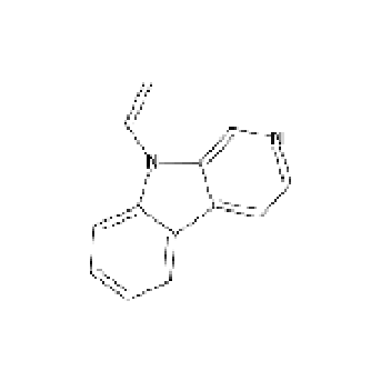 C=Cn1c2ccccc2c2ccncc21